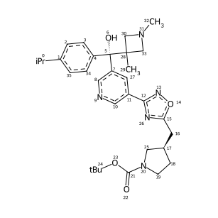 CC(C)c1ccc([C@](O)(c2cncc(-c3noc(C[C@H]4CCN(C(=O)OC(C)(C)C)C4)n3)c2)C2(C)CN(C)C2)cc1